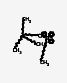 CCCCCCCCCCCC[B-](c1ccccc1)(c1ccccc1)c1ccccc1.CCCCCCCC[P+](CCCCCCCC)(CCCCCCCC)CCCCCCCC